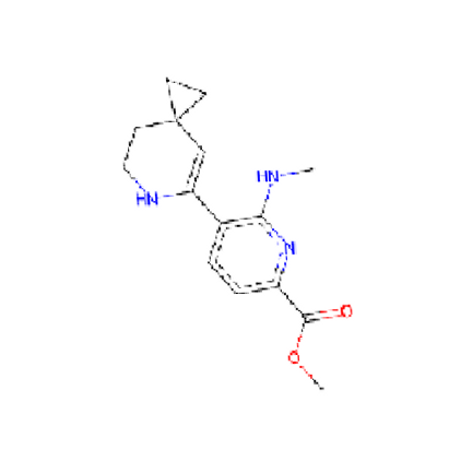 CNc1nc(C(=O)OC)ccc1C1=CC2(CCN1)CC2